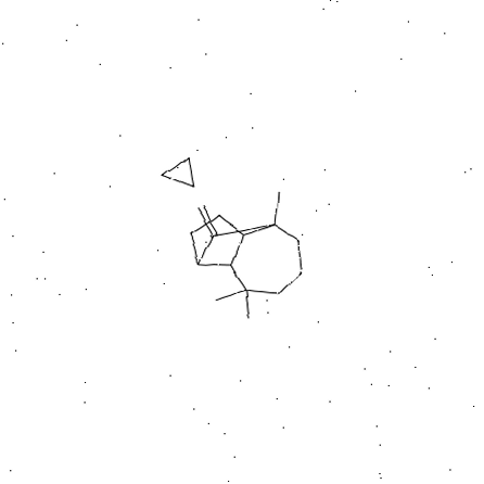 C1CC1.C=C1C2CCC3C2C(C)(C)CCCC13C